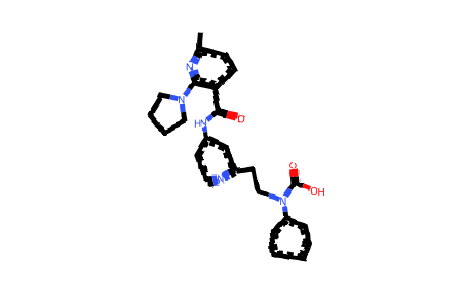 Cc1ccc(C(=O)Nc2ccnc(CCN(C(=O)O)c3ccccc3)c2)c(N2CCCC2)n1